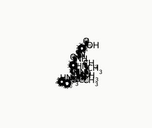 CN[C@@H](C)C(=O)NC(C(=O)N1Cc2cc(C(=O)Nc3nc4cc(C(=O)O)ccc4s3)ccc2C[C@H]1C(=O)N[C@@H]1CCCc2ccccc21)C(C)(C)C